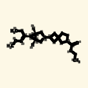 CCOC(=O)N1CCC2(CC(N3C[C@@H]4[C@H](C3)[C@@H]4C(CC)=NOC)C2)C1